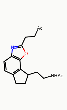 CC(=O)CCc1nc2ccc3c(c2o1)C(CCNC(C)=O)CC3